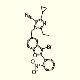 CCc1nc(C2CC2)c(C#N)n1Cc1ccc2oc(-c3ccccc3[N+](=O)[O-])c(Br)c2c1